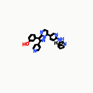 Oc1cccc(-c2c(-c3ccncc3)nn3c(-c4ccc(N[C@H]5CN6CCC5CC6)nc4)ccnc23)c1